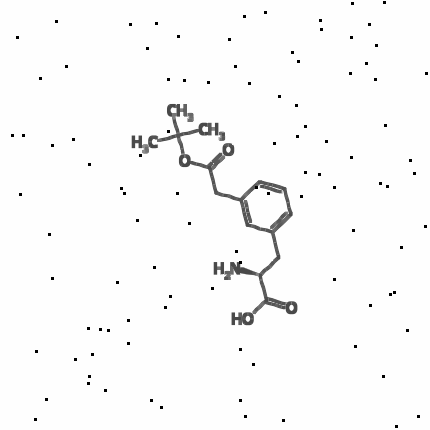 CC(C)(C)OC(=O)Cc1cccc(C[C@H](N)C(=O)O)c1